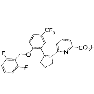 O=C(O)c1cccc(C2=C(c3cc(C(F)(F)F)ccc3OCc3c(F)cccc3F)CCC2)n1